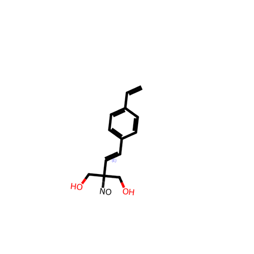 C=Cc1ccc(/C=C/C(CO)(CO)N=O)cc1